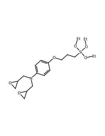 CCO[Si](CCCOc1ccc(N(CC2CO2)CC2CO2)cc1)(OCC)OCC